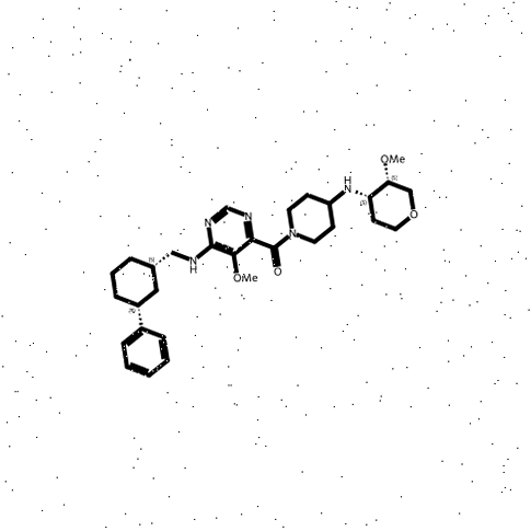 COc1c(NC[C@H]2CCC[C@@H](c3ccccc3)C2)ncnc1C(=O)N1CCC(N[C@H]2CCOC[C@H]2OC)CC1